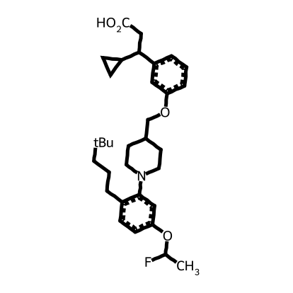 CC(F)Oc1ccc(CCCC(C)(C)C)c(N2CCC(COc3cccc(C(CC(=O)O)C4CC4)c3)CC2)c1